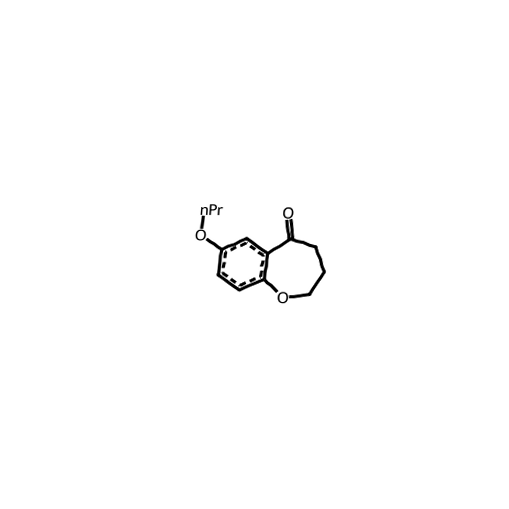 CCCOc1ccc2c(c1)C(=O)CCCO2